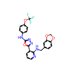 FC(F)(F)Oc1ccc(Nc2nnc(-c3cccnc3NCc3ccc4c(c3)OCO4)o2)cc1